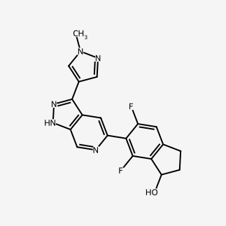 Cn1cc(-c2n[nH]c3cnc(-c4c(F)cc5c(c4F)C(O)CC5)cc23)cn1